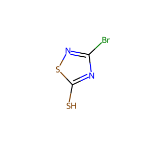 Sc1nc(Br)ns1